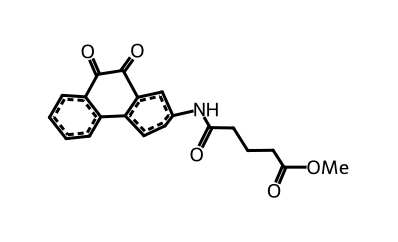 COC(=O)CCCC(=O)Nc1ccc2c(c1)C(=O)C(=O)c1ccccc1-2